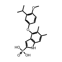 COc1ccc(Oc2c(C)c(C)cc3[nH]c(P(=O)(O)O)cc23)cc1C(C)C